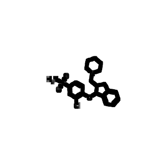 NS(=O)(=O)c1ccc(OC2c3ccccc3CC2CN2CCCCC2)c(Cl)c1